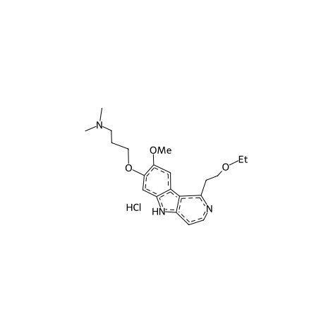 CCOCCc1nccc2[nH]c3cc(OCCCN(C)C)c(OC)cc3c12.Cl